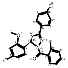 COc1cc(F)ccc1[C@H]1SC(c2ccc(Cl)cc2)=NN1C(=O)c1ccccc1C